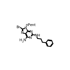 CCCCCn1c(Br)nc2c(N)nc(NCCCc3ccccc3)nc21